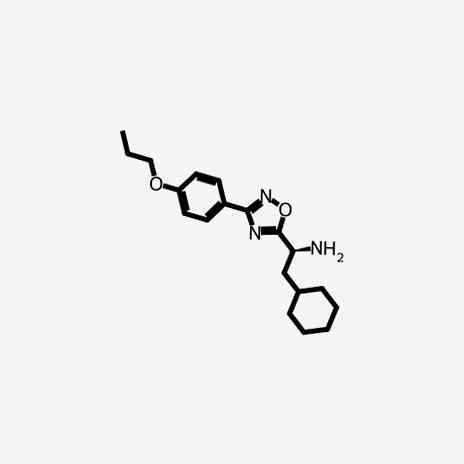 CCCOc1ccc(-c2noc([C@@H](N)CC3CCCCC3)n2)cc1